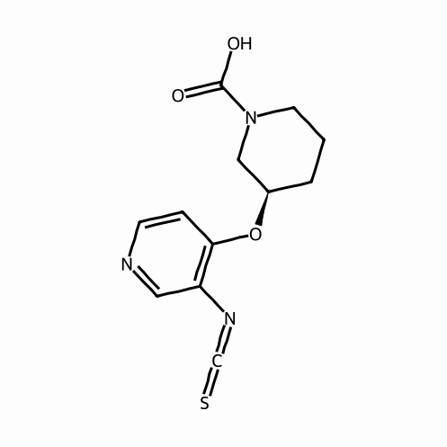 O=C(O)N1CCC[C@@H](Oc2ccncc2N=C=S)C1